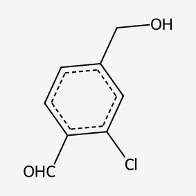 O=Cc1ccc(CO)cc1Cl